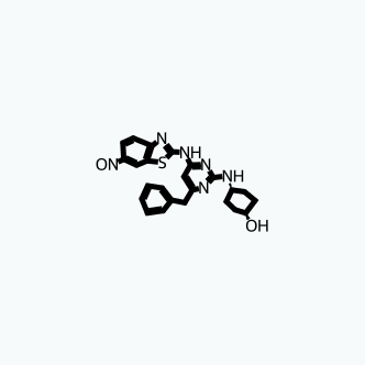 O=Nc1ccc2nc(Nc3cc(Cc4ccccc4)nc(N[C@H]4CC[C@H](O)CC4)n3)sc2c1